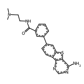 CN(C)CCNC(=O)c1cccc(-c2ccc3c(c2)sc2c(N)ncnc23)c1